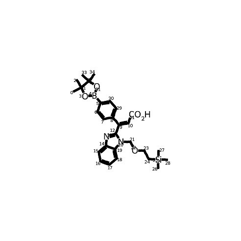 CC1(C)OB(c2ccc(C(=CC(=O)O)c3nc4ccccc4n3COCC[Si](C)(C)C)cc2)OC1(C)C